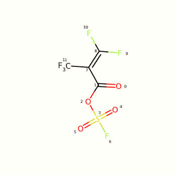 O=C(OS(=O)(=O)F)C(=C(F)F)C(F)(F)F